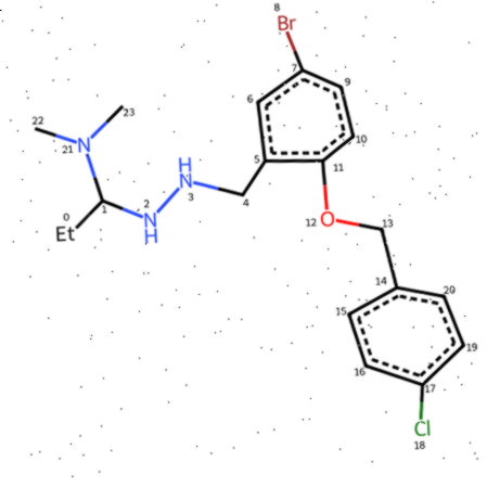 CCC(NNCc1cc(Br)ccc1OCc1ccc(Cl)cc1)N(C)C